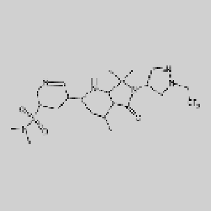 CC1CC(C2C=NCC(S(=O)(=O)N(C)C)C2)NC2C1C(=O)N(C1C=NN(CC(F)(F)F)C1)C2(C)C